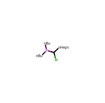 CCCCCCCC(Br)P(CCCC)CCCC